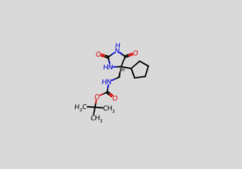 CC(C)(C)OC(=O)NC[C@@]1(C2CCCC2)NC(=O)NC1=O